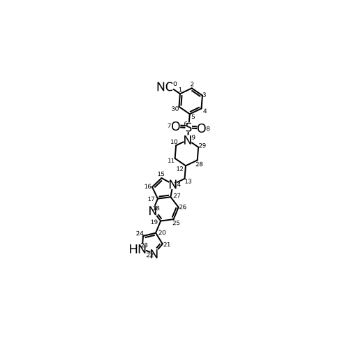 N#Cc1cccc(S(=O)(=O)N2CCC(Cn3ccc4nc(-c5cn[nH]c5)ccc43)CC2)c1